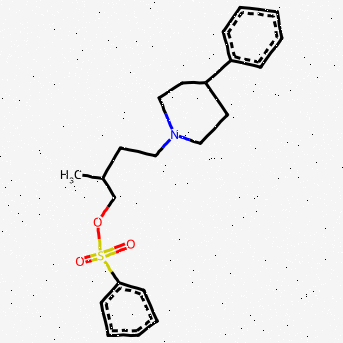 CC(CCN1CCC(c2ccccc2)CC1)COS(=O)(=O)c1ccccc1